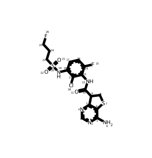 Nc1ncnc2c1SCC2C(=O)Nc1c(F)ccc(NS(=O)(=O)CCCF)c1Cl